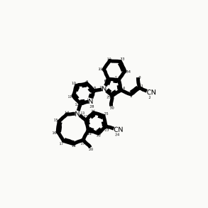 C/C(C#N)=C\c1c2c(n(-c3cccc(N4C/C=C\C=C/C(C)c5cc(C#N)ccc54)n3)c1C)CCC=C2